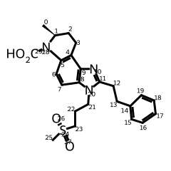 C[C@H]1CCc2c(ccc3c2nc(CCc2ccccc2)n3CCCS(C)(=O)=O)N1C(=O)O